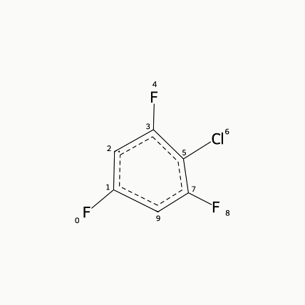 Fc1[c]c(F)c(Cl)c(F)c1